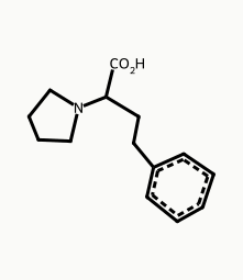 O=C(O)C(CCc1ccccc1)N1CCCC1